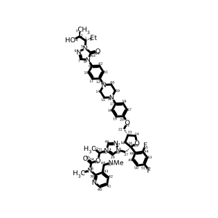 CC[C@@H]([C@H](C)O)n1ncn(-c2ccc(N3CCN(c4ccc(OC[C@@H]5CO[C@@](Cn6c[n+](C(C)OC(=O)N(C)c7ncccc7CNC)cn6)(c6ccc(F)cc6F)C5)cc4)CC3)cc2)c1=O